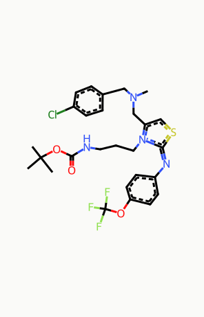 CN(Cc1ccc(Cl)cc1)Cc1csc(=Nc2ccc(OC(F)(F)F)cc2)n1CCCNC(=O)OC(C)(C)C